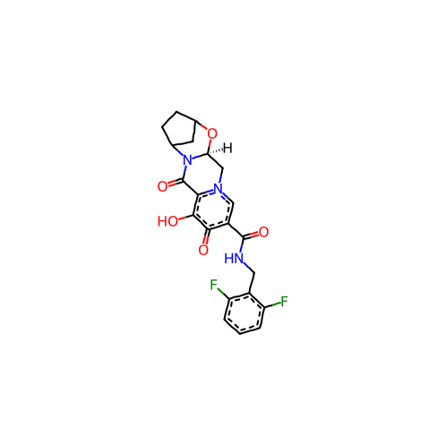 O=C(NCc1c(F)cccc1F)c1cn2c(c(O)c1=O)C(=O)N1C3CCC(C3)O[C@H]1C2